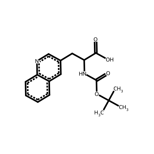 CC(C)(C)OC(=O)NC(Cc1cnc2ccccc2c1)C(=O)O